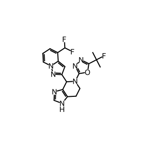 CC(C)(F)c1nnc(N2CCc3[nH]cnc3C2c2cc3c(C(F)F)cccn3n2)o1